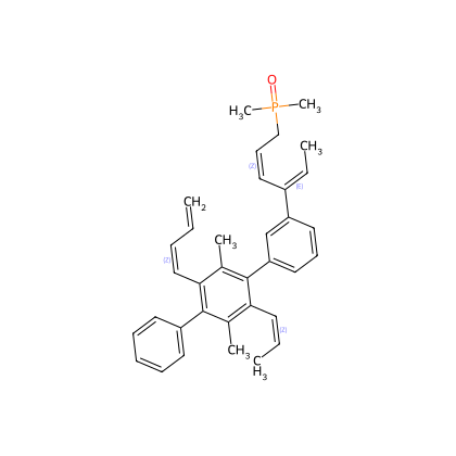 C=C/C=C\c1c(C)c(-c2cccc(C(/C=C\CP(C)(C)=O)=C/C)c2)c(/C=C\C)c(C)c1-c1ccccc1